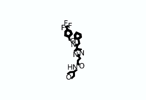 O=C(CCc1ncc(C(Cc2ccccc2)=NOCc2ccc(C(F)(F)F)cc2)cn1)NCC1CCOCC1